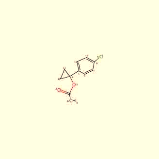 CC(=O)OC1(c2ccc(Cl)cc2)CC1